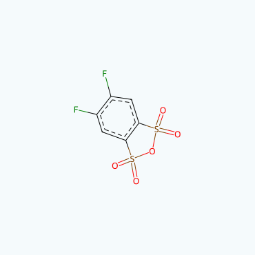 O=S1(=O)OS(=O)(=O)c2cc(F)c(F)cc21